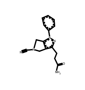 N#CN1Cc2c(CCC(N)=O)nn(-c3ccccc3)c2C1